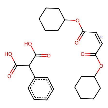 O=C(/C=C\C(=O)OC1CCCCC1)OC1CCCCC1.O=C(O)C(C(=O)O)c1ccccc1